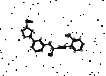 CC(=O)NC1CCN(c2cccc(OC(O)C#Cc3ccccc3C)n2)C1